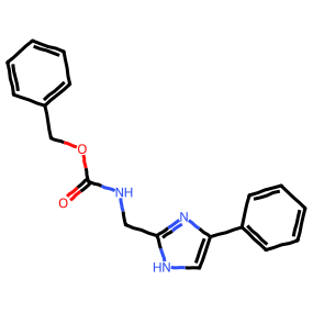 O=C(NCc1nc(-c2ccccc2)c[nH]1)OCc1ccccc1